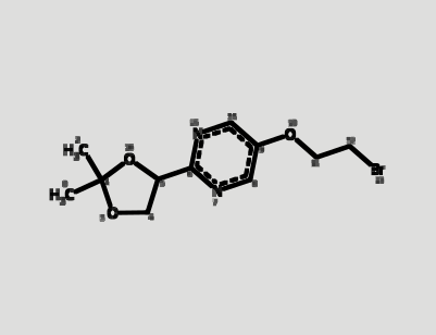 CC1(C)OCC(c2ncc(OCCBr)cn2)O1